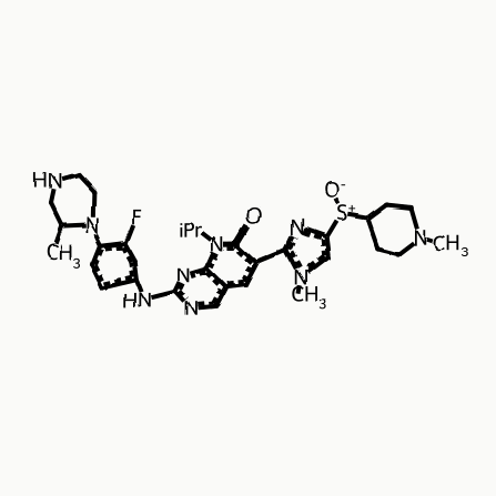 CC1CNCCN1c1ccc(Nc2ncc3cc(-c4nc([S+]([O-])C5CCN(C)CC5)cn4C)c(=O)n(C(C)C)c3n2)cc1F